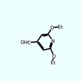 CCOc1cc(C=O)cc(OCC)n1